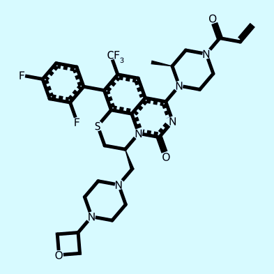 C=CC(=O)N1CCN(c2nc(=O)n3c4c(c(-c5ccc(F)cc5F)c(C(F)(F)F)cc24)SC[C@@H]3CN2CCN(C3COC3)CC2)[C@@H](C)C1